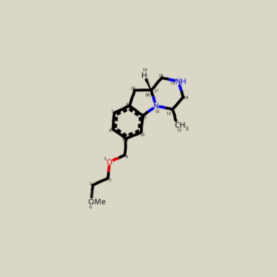 COCCOCc1ccc2c(c1)N1C(C)CNC[C@H]1C2